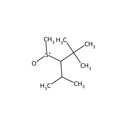 CC(C)C([S+](C)[O-])C(C)(C)C